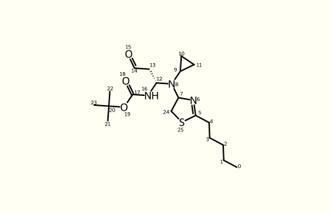 CCCCCC1=NC(N(C2CC2)[C@@H](CC=O)NC(=O)OC(C)(C)C)CS1